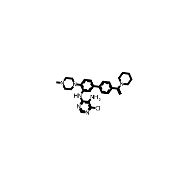 C=C(c1ccc(-c2ccc(N3CCN(C)CC3)c(Nc3ncnc(Cl)c3N)c2)cc1)N1CCCCC1